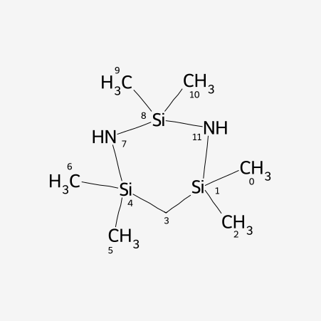 C[Si]1(C)C[Si](C)(C)N[Si](C)(C)N1